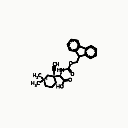 C#C[C@@]1([C@H](NC(=O)OCC2c3ccccc3-c3ccccc32)C(=O)O)CCC[N+](C)(C)C1